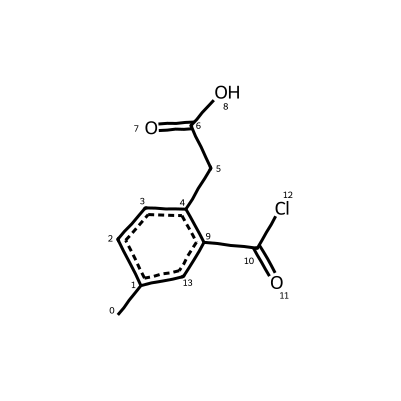 Cc1ccc(CC(=O)O)c(C(=O)Cl)c1